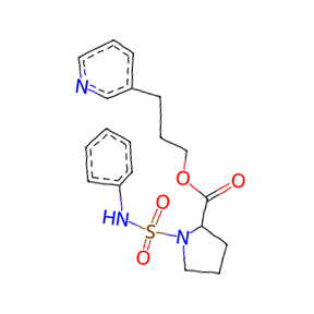 O=C(OCCCc1cccnc1)C1CCCN1S(=O)(=O)Nc1ccccc1